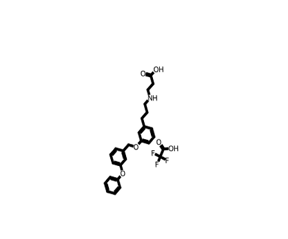 O=C(O)C(F)(F)F.O=C(O)CCNCCCc1cccc(OCc2cccc(Oc3ccccc3)c2)c1